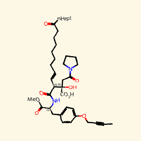 CC#CCOc1ccc(C[C@H](NC(=O)[C@@H](C=CCCCCCCC(=O)CCCCCCC)[C@@](O)(CC(=O)N2CCCC2)C(=O)O)C(=O)OC)cc1